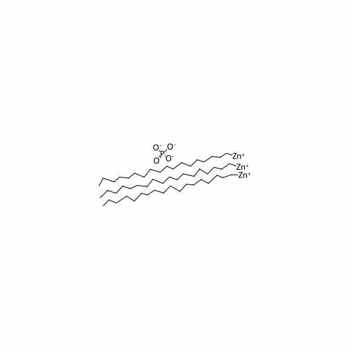 CCCCCCCCCCCCCCCCC[CH2][Zn+].CCCCCCCCCCCCCCCCC[CH2][Zn+].CCCCCCCCCCCCCCCCC[CH2][Zn+].O=P([O-])([O-])[O-]